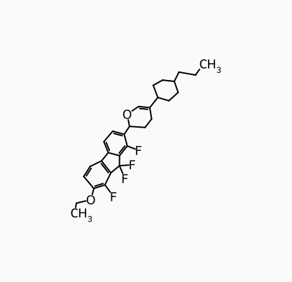 CCCC1CCC(C2=COC(c3ccc4c(c3F)C(F)(F)c3c-4ccc(OCC)c3F)CC2)CC1